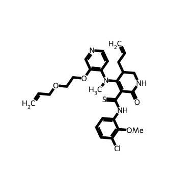 C=CCOCCOc1cnccc1N(C)C1=C(C(=S)Nc2cccc(Cl)c2OC)C(=O)NCC1CC=C